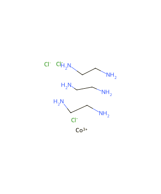 NCCN.NCCN.NCCN.[Cl-].[Cl-].[Cl-].[Co+3]